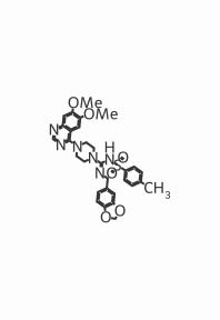 COc1cc2ncnc(N3CCN(/C(=N/Cc4ccc5c(c4)OCO5)NS(=O)(=O)c4ccc(C)cc4)CC3)c2cc1OC